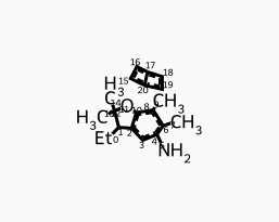 CCC1c2cc(N)c(C)c(C)c2OC1(C)C.c1cc2ccc1-2